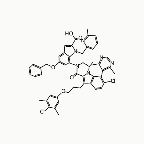 Cc1cccc(Cn2c(C(=O)O)cc3cc(OCc4ccccc4)cc(N4CC(C)n5c(c(CCCOc6cc(C)c(Cl)c(C)c6)c6ccc(Cl)c(-c7c(C)ncnc7C)c65)C4=O)c32)n1